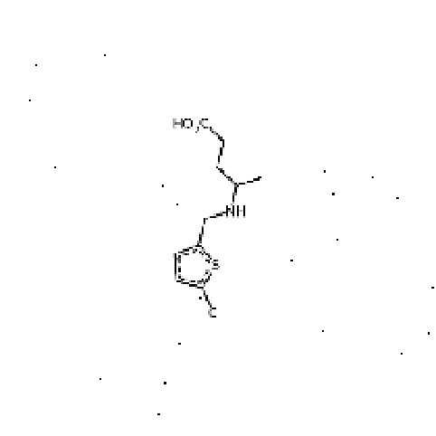 CC(CCC(=O)O)NCc1ccc(Cl)s1